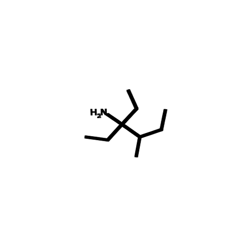 CCC(C)C(N)(CC)CC